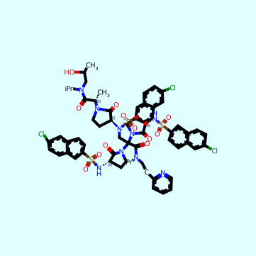 CC(O)CN(C(=O)[C@H](C)N1CC[C@H](N(CC(C(=O)N(CCc2ccccn2)C(C)C)(N2CC[C@H](NS(=O)(=O)c3ccc4cc(Cl)ccc4c3)C2=O)N2CC[C@H](NS(=O)(=O)c3ccc4cc(Cl)ccc4c3)C2=O)S(=O)(=O)c2ccc3cc(Cl)ccc3c2)C1=O)C(C)C